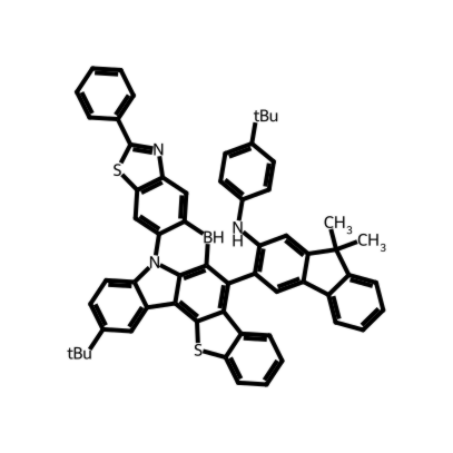 CC(C)(C)c1ccc(Nc2cc3c(cc2-c2c4c5c(c6cc(C(C)(C)C)ccc6n5-c5cc6sc(-c7ccccc7)nc6cc5B4)c4sc5ccccc5c24)-c2ccccc2C3(C)C)cc1